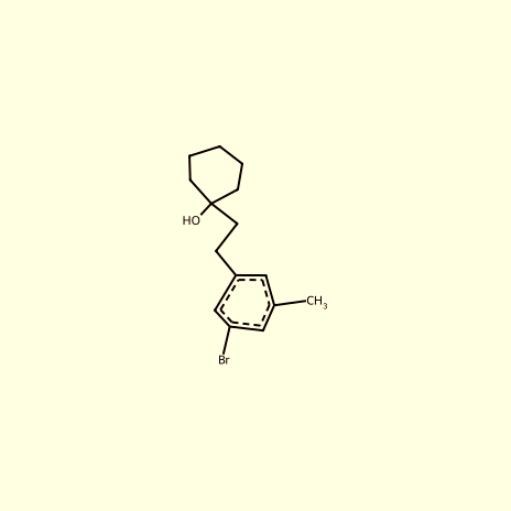 Cc1cc(Br)cc(CCC2(O)CCCCC2)c1